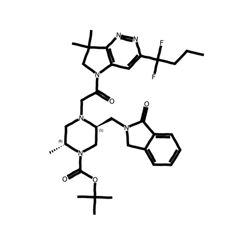 CCCC(F)(F)c1cc2c(nn1)C(C)(C)CN2C(=O)CN1C[C@@H](C)N(C(=O)OC(C)(C)C)C[C@@H]1CN1Cc2ccccc2C1=O